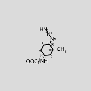 C[C@@H]1C[C@H](NC(=O)[O-])CC[C@H]1N=[N+]=N